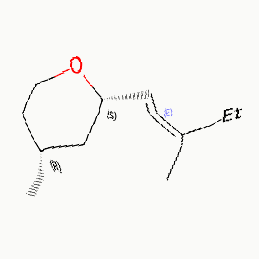 CC/C(C)=C/[C@@H]1C[C@H](C)CCO1